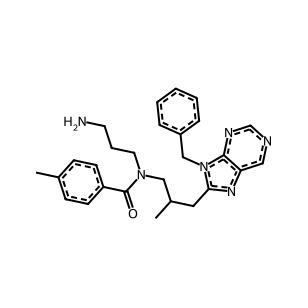 Cc1ccc(C(=O)N(CCCN)CC(C)Cc2nc3cncnc3n2Cc2ccccc2)cc1